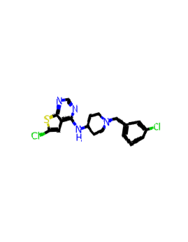 Clc1cccc(CN2CCC(Nc3ncnc4sc(Cl)cc34)CC2)c1